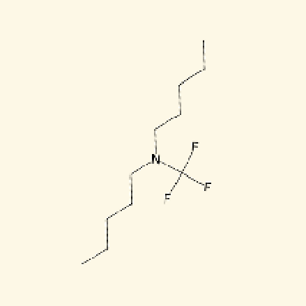 CCCCCN(CCCCC)C(F)(F)F